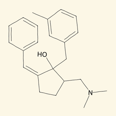 Cc1cccc(CC2(O)/C(=C\c3ccccc3)CCC2CN(C)C)c1